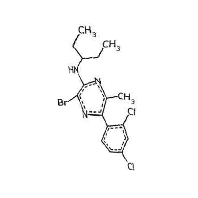 CCC(CC)Nc1nc(C)c(-c2ccc(Cl)cc2Cl)nc1Br